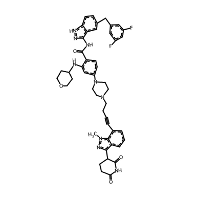 Cn1nc(C2CCC(=O)NC2=O)c2cccc(C#CCCN3CCN(c4ccc(C(=O)Nc5n[nH]c6ccc(Cc7cc(F)cc(F)c7)cc56)c(NC5CCOCC5)c4)CC3)c21